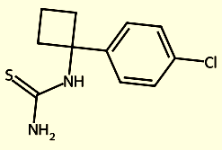 NC(=S)NC1(c2ccc(Cl)cc2)CCC1